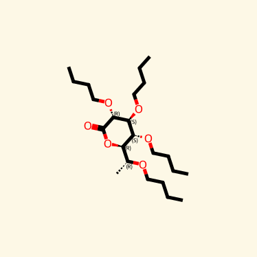 CCCCO[C@@H]1[C@@H]([C@@H](C)OCCCC)OC(=O)[C@H](OCCCC)[C@H]1OCCCC